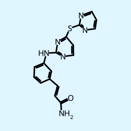 NC(=O)C=Cc1cccc(Nc2nccc(Sc3ncccn3)n2)c1